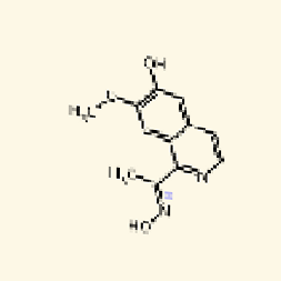 COc1cc2c(/C(C)=N/O)nccc2cc1O